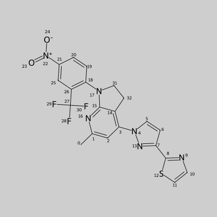 Cc1cc(-n2ccc(-c3nccs3)n2)c2c(n1)N(c1ccc([N+](=O)[O-])cc1C(F)(F)F)CC2